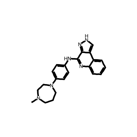 CN1CCCN(c2ccc(Nc3nc4ccccc4c4c[nH]nc34)cc2)CC1